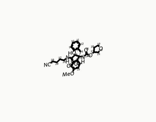 COc1ccc([C@](Cc2ccccc2)(NC(=O)OC2CCOC2)[C@@H](O)C(NCCCCC#N)=S(=O)=O)cc1